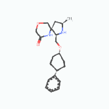 C[C@@H]1C[C@@]2(COCC(=O)N2)[C@H](CO[C@H]2CC[C@@H](c3ccccc3)CC2)N1